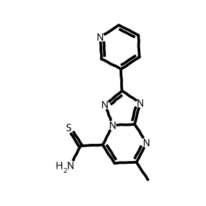 Cc1cc(C(N)=S)n2nc(-c3cccnc3)nc2n1